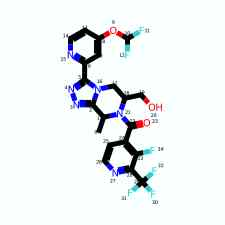 CC1c2nnc(-c3cc(OC(F)F)ccn3)n2CC(CO)N1C(=O)c1ccnc(C(F)(F)F)c1F